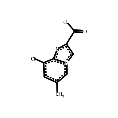 Cc1cc(Cl)c2nc(C(=O)Cl)cn2c1